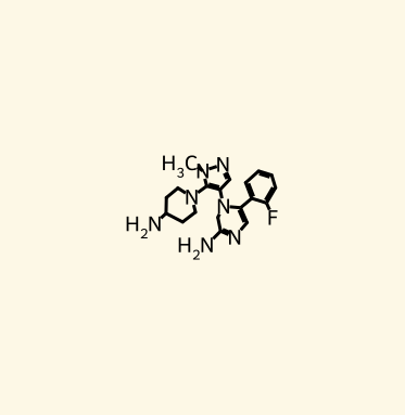 Cn1ncc(N2CC(N)=NC=C2c2ccccc2F)c1N1CCC(N)CC1